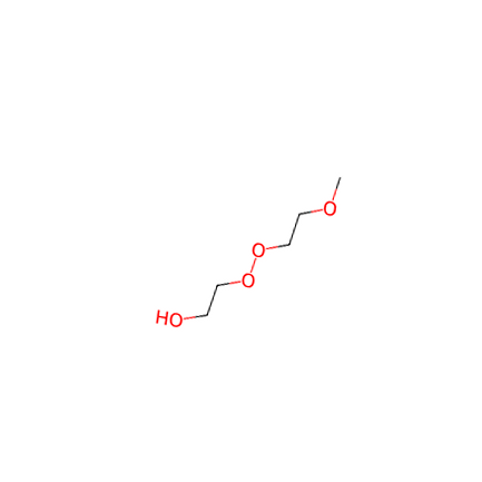 COCCOOCCO